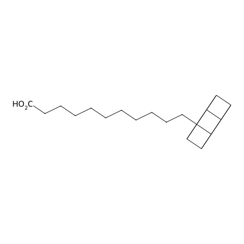 O=C(O)CCCCCCCCCCC12C3C4C5C3C1C5C42